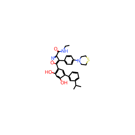 CCNC(=O)c1noc(-c2cc(-c3cccc(C(C)C)c3)c(O)cc2O)c1-c1ccc(N2CCSCC2)cc1